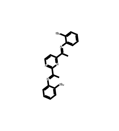 C/C(=N\c1ccccc1C(C)(C)C)c1ccnc(/C(C)=N/c2ccccc2C(C)(C)C)n1